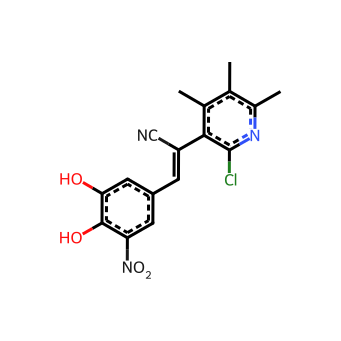 Cc1nc(Cl)c(C(C#N)=Cc2cc(O)c(O)c([N+](=O)[O-])c2)c(C)c1C